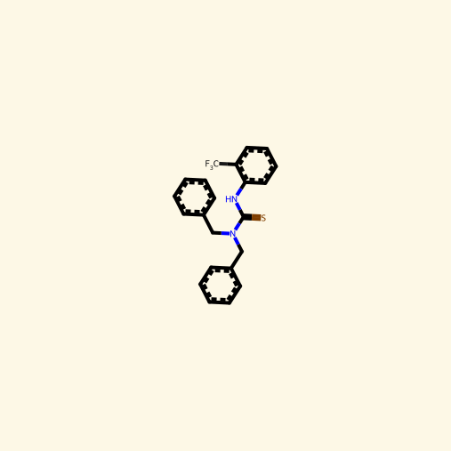 FC(F)(F)c1ccccc1NC(=S)N(Cc1ccccc1)Cc1ccccc1